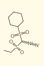 CCS(=O)(=O)C(=[N+]=[N-])S(=O)(=O)C1CCCCC1